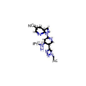 CC(=O)Cn1cc(-c2cnc(-n3ncc4cc(C#N)cnc43)cc2NC(C)C)nn1